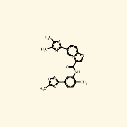 Cc1nc(-c2ccc(C)c(NC(=O)c3cnc4ccc(-c5nc(C)c(C)s5)cn34)c2)no1